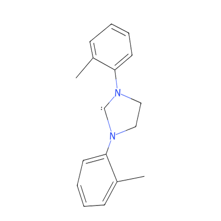 Cc1ccccc1N1[C]N(c2ccccc2C)CC1